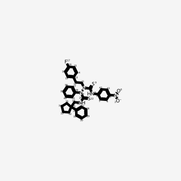 O=[N+]([O-])c1ccc(NC(=S)N(CCc2ccc(F)cc2)N(C(=S)NCC2(c3ccccc3)CCCC2)c2ccccc2)cc1